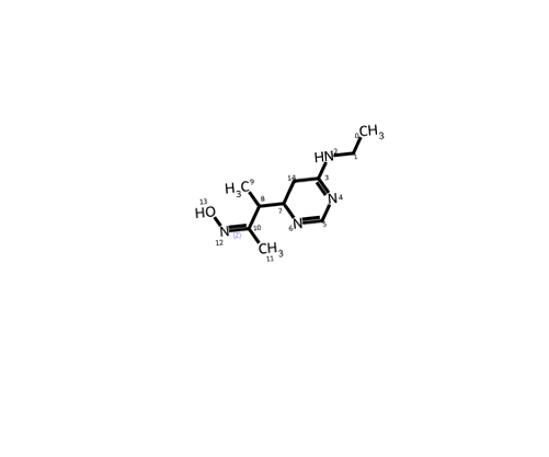 CCNC1=NC=NC(C(C)/C(C)=N\O)C1